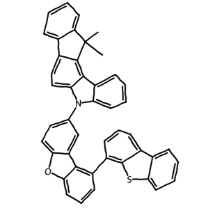 CC1(C)c2ccccc2-c2ccc3c(c21)c1ccccc1n3-c1ccc2oc3cccc(-c4cccc5c4sc4ccccc45)c3c2c1